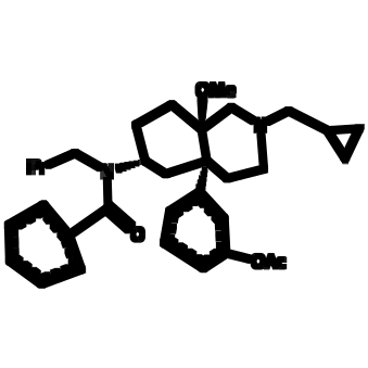 CO[C@]12CC[C@@H](N(CC(C)C)C(=O)c3ccccc3)C[C@]1(c1cccc(OC(C)=O)c1)CCN(CC1CC1)C2